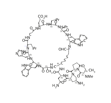 CN[C@H](C(=O)N1CCC[C@@H]1C(=O)N1C[C@@H](N)C[C@H]1C(=O)N[C@@H](CC(N)=O)C(=O)N[C@@H]1CN[C@@H](C)C(=O)N[C@@H](Cc2c[nH]c3ccccc23)C(=O)N[C@@H](Cc2cnc[nH]2)C(=O)/N=C(\CC(C)C)C(=O)NCC(=O)N[C@@H](CCC(=O)O)C(=O)N[C@@H](CC(C)C)C(=O)N[C@@H](C(C)C)C(=O)N[C@@H](Cc2c[nH]c3ccccc23)C(=O)/N=C(\C=O)CSSC1)[C@@H](C)O